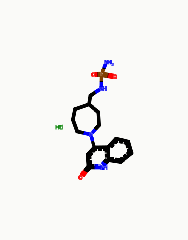 Cl.NS(=O)(=O)NCC1CCCN(c2cc(=O)[nH]c3ccccc23)CC1